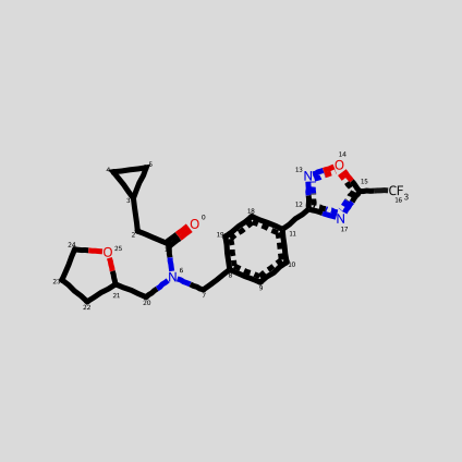 O=C(CC1CC1)N(Cc1ccc(-c2noc(C(F)(F)F)n2)cc1)CC1CCCO1